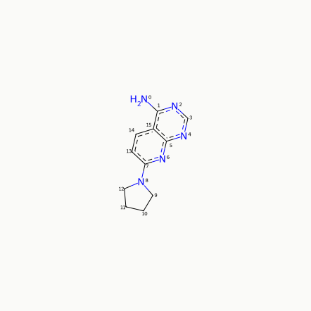 Nc1ncnc2nc(N3CCCC3)ccc12